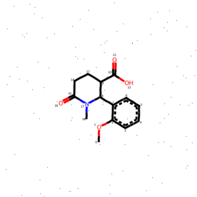 COc1ccccc1C1C(C(=O)O)CCC(=O)N1C